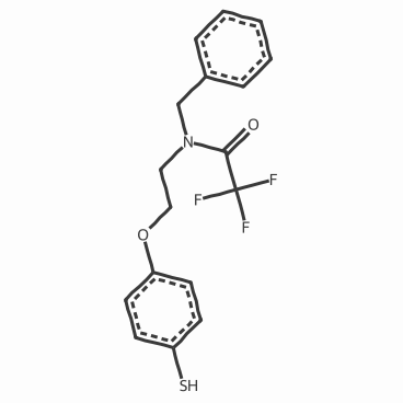 O=C(N(CCOc1ccc(S)cc1)Cc1ccccc1)C(F)(F)F